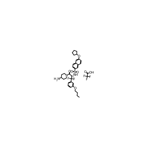 CCCCOc1cccc(C(F)(F)[C@@H](NS(=O)(=O)c2ccc3cc(OC4CCCC4)ccc3c2)C(=O)N2CCC(N)CC2)c1.O=C(O)C(F)(F)F